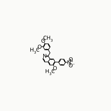 COc1ccc(Cc2nccc3cc(OC)c(-c4ccc([N+](=O)[O-])cc4)cc23)cc1OC